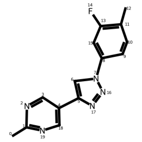 Cc1ncc(-c2cn(-c3ccc(C)c(F)c3)nn2)cn1